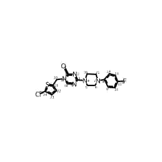 O=c1nc(N2CCN(c3ccc(F)cc3)CC2)ncn1Cc1ccc(Cl)s1